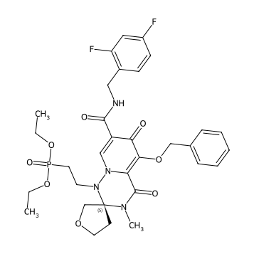 CCOP(=O)(CCN1n2cc(C(=O)NCc3ccc(F)cc3F)c(=O)c(OCc3ccccc3)c2C(=O)N(C)[C@@]12CCOC2)OCC